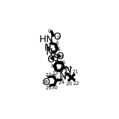 CC(=O)Nc1ccc(S(=O)(=O)c2ccc3c(c2)nc(C(C)(C)C)n3CC2CCOCC2)nn1